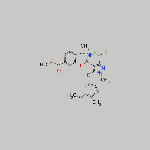 C=Cc1cc(Oc2c(C(=O)N[C@@H](C)c3ccc(C(=O)OC)cc3)c(C(F)F)nn2C)ccc1C